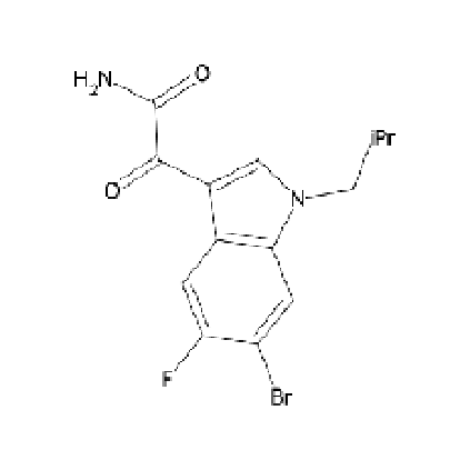 CC(C)Cn1cc(C(=O)C(N)=O)c2cc(F)c(Br)cc21